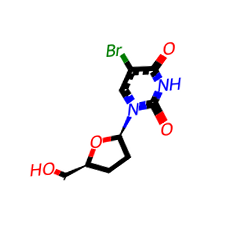 O=c1[nH]c(=O)n([C@H]2CC[C@@H]([CH]O)O2)cc1Br